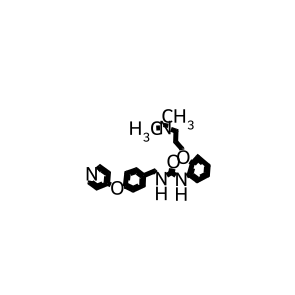 CN(C)CCCOc1ccccc1NC(=O)NCc1ccc(Oc2ccncc2)cc1